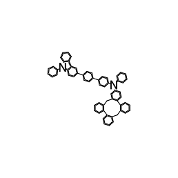 c1ccc(N(c2ccc(-c3ccc(-c4ccc5c(c4)c4ccccc4n5-c4ccccc4)cc3)cc2)c2ccc3c(c2)Cc2ccccc2-c2ccccc2Cc2ccccc2-3)cc1